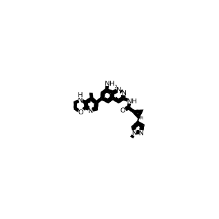 Cc1c(-c2cc(N)c3nnc(NC(=O)C4C[C@H]4c4cnn(C)c4)cc3c2)cnc2c1NCCO2